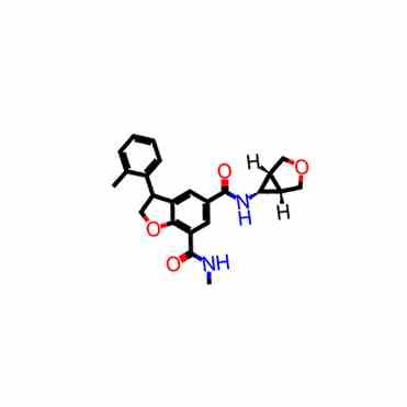 CNC(=O)c1cc(C(=O)N[C@H]2[C@@H]3COC[C@@H]32)cc2c1OCC2c1ccccc1C